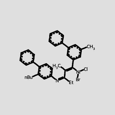 CCCCc1cc(N=C(CC)C(C)=[C](c2cc(C)cc(-c3ccccc3)c2)[Ni]([Cl])[Br])ccc1-c1ccccc1